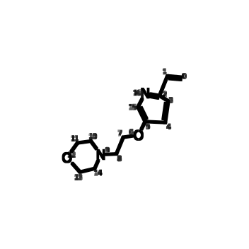 C=Cc1ccc(OCCN2CCOCC2)cn1